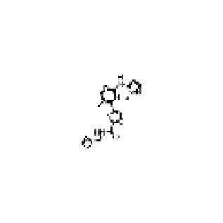 Cc1cnc(Nc2ccnn2C)nc1-c1coc(C(=O)NCC23CC(C2)C3)n1